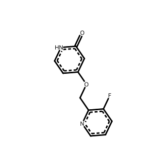 O=c1cc(OCc2ncccc2F)cc[nH]1